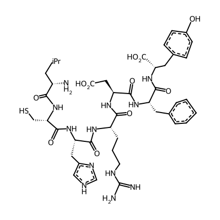 CC(C)C[C@H](N)C(=O)N[C@@H](CS)C(=O)N[C@@H](Cc1c[nH]cn1)C(=O)N[C@@H](CCCNC(=N)N)C(=O)N[C@@H](CC(=O)O)C(=O)N[C@@H](Cc1ccccc1)C(=O)N[C@@H](Cc1ccc(O)cc1)C(=O)O